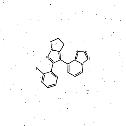 Fc1ccccc1-c1nn2c(c1-c1cccn3ncnc13)CCC2